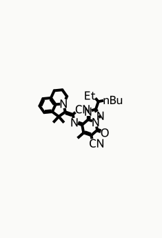 CCCCC(CC)c1nc2n(n1)C(=O)C(C#N)=C(C)/C2=N/C(C#N)=C1/N2CCCc3cccc(c32)C1(C)C